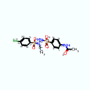 CC(=O)Nc1ccc(S(=O)(=O)NN(C)S(=O)(=O)c2ccc(Br)cc2)cc1